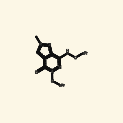 CCCONc1nn(OCCC)c(=O)c2cn(C)nc12